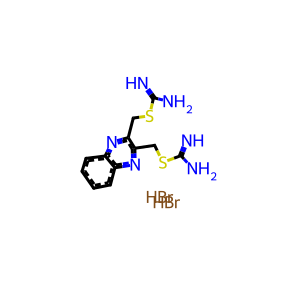 Br.Br.N=C(N)SCc1nc2ccccc2nc1CSC(=N)N